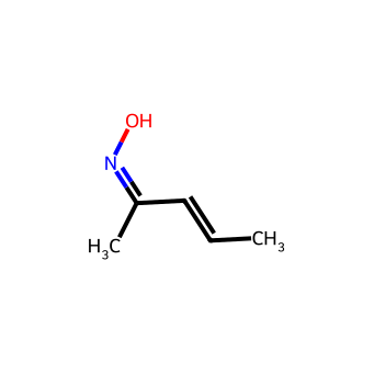 C/C=C/C(C)=N\O